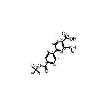 CNc1nc(-c2ccc(C(=O)OC(C)(C)C)cc2)ccc1C(=O)O